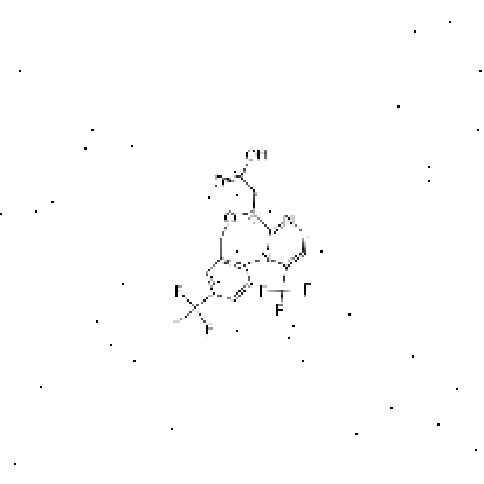 O=C(O)C[C@@H]1OCc2cc(C(F)(F)F)ccc2N2C(C(F)(F)F)=C=CN=C12